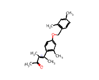 CC(=O)/C(C)=C(\C)c1ccc(OCc2ccc(C)cc2C)cc1C